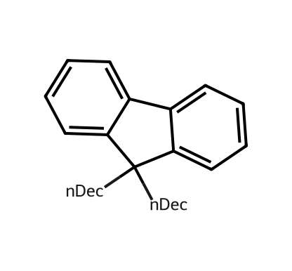 CCCCCCCCCCC1(CCCCCCCCCC)c2ccccc2-c2ccccc21